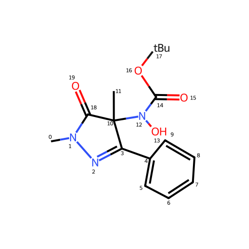 CN1N=C(c2ccccc2)C(C)(N(O)C(=O)OC(C)(C)C)C1=O